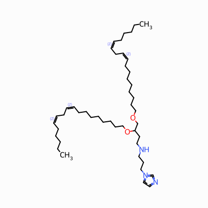 CCCCC/C=C\C/C=C\CCCCCCCCOCC(CCNCCCn1ccnc1)OCCCCCCCC/C=C\C/C=C\CCCCC